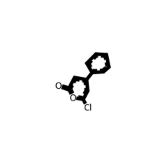 O=c1cc(-c2ccccc2)cc(Cl)o1